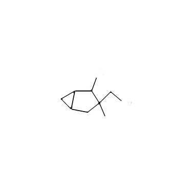 COCC1(C)CC2CC2C1C